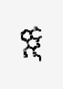 CCOC(=O)C(C=O)c1cccc(OC)c1OC